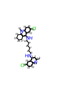 Cc1cc(NCCCCCCNc2c3c([n+](C)c4ccc(Cl)cc24)CCCC3)c2cc(Cl)ccc2n1